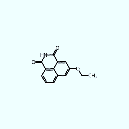 CCOc1cc2c3c(cccc3c1)C(=O)NC2=O